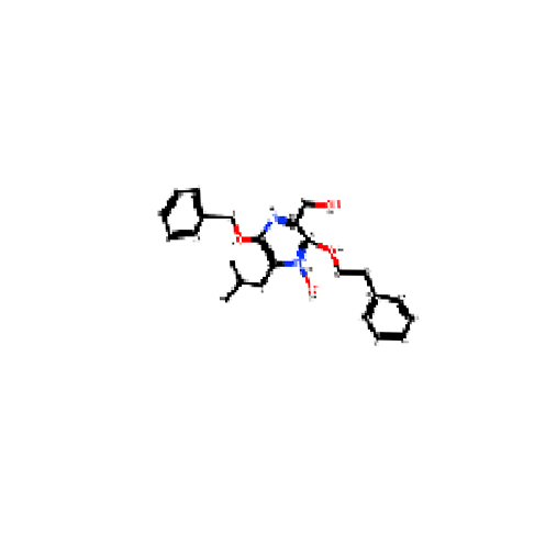 CC(C)Cc1c(OCc2ccccc2)nc(CO)c(OCCc2ccccc2)[n+]1[O-]